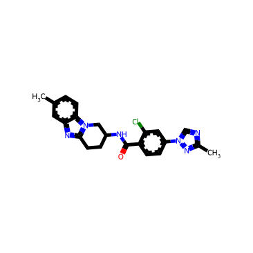 Cc1ccc2c(c1)nc1n2CC(NC(=O)c2ccc(-n3cnc(C)n3)cc2Cl)CC1